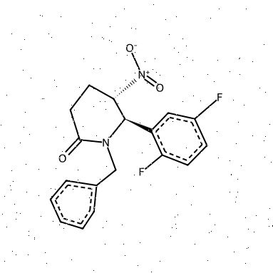 O=C1CC[C@H]([N+](=O)[O-])[C@@H](c2cc(F)ccc2F)N1Cc1ccccc1